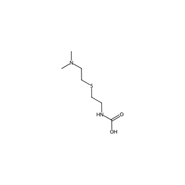 CN(C)CCSCCNC(=O)O